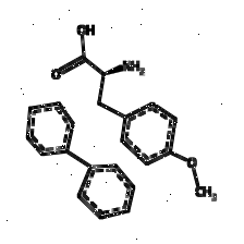 COc1ccc(C[C@H](N)C(=O)O)cc1.c1ccc(-c2ccccc2)cc1